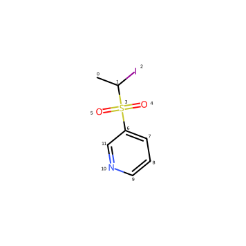 CC(I)S(=O)(=O)c1cccnc1